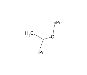 CC[CH]OC(C)C(C)C